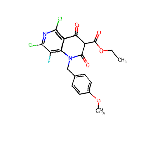 CCOC(=O)C1C(=O)c2c(Cl)nc(Cl)c(F)c2N(Cc2ccc(OC)cc2)C1=O